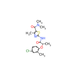 Cc1cc(Cl)ccc1OC(C)C(=O)Nc1nc(C)c(C(=O)N(C)C)s1